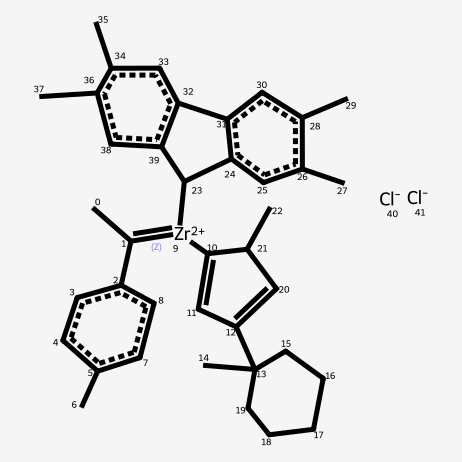 C/[C](c1ccc(C)cc1)=[Zr+2](/[C]1=CC(C2(C)CCCCC2)=CC1C)[CH]1c2cc(C)c(C)cc2-c2cc(C)c(C)cc21.[Cl-].[Cl-]